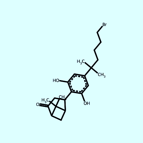 CC(C)(CCCCBr)c1cc(O)c(C2CC(=O)C3CC2C3(C)C)c(O)c1